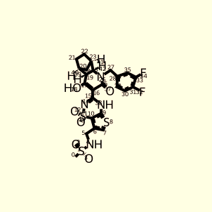 CS(=O)(=O)NCc1csc2c1S(=O)(=O)N=C(C1=C(O)[C@@H]3[C@H]4CC[C@H](C4)[C@@H]3N(Cc3ccc(F)c(F)c3)C1=O)N2